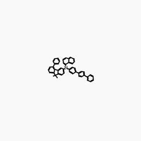 CC1(C)c2ccc(N(c3ccc(-c4ccc(-c5ccccc5)cc4)cc3)c3cccc4ccccc34)cc2-c2c(-c3ccccc3)cccc21